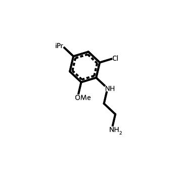 COc1cc(C(C)C)cc(Cl)c1NCCN